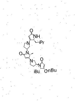 CCCCOC1=CC(=O)N([C@H]2CCN(C3=CC(=O)N([C@H]4CCN(C5=CC(=O)N[C@H]5CC(C)C)C4)[C@H]3C)C2)[C@H]1C(C)CC